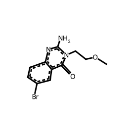 COCCn1c(N)nc2ccc(Br)cc2c1=O